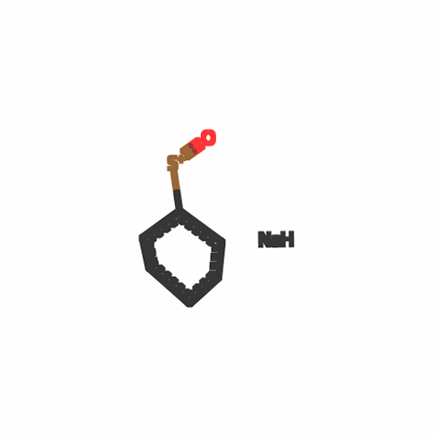 O=[S+]c1ccccc1.[NaH]